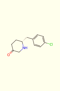 O=C1CC[C@H](Cc2ccc(Cl)cc2)NC1